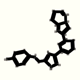 Fc1ccc(OCc2nc(-c3cccc(-c4cn5ncccc5n4)c3)no2)cc1